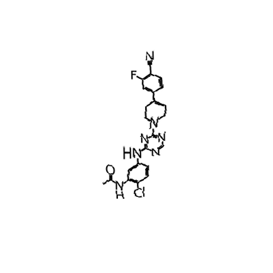 CC(=O)Nc1cc(Nc2ncnc(N3CC=C(c4ccc(C#N)c(F)c4)CC3)n2)ccc1Cl